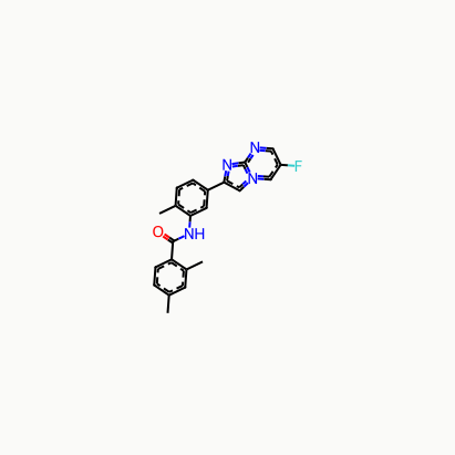 Cc1ccc(C(=O)Nc2cc(-c3cn4cc(F)cnc4n3)ccc2C)c(C)c1